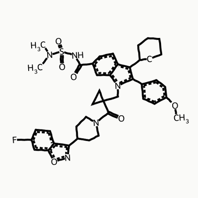 COc1ccc(-c2c(C3CCCCC3)c3ccc(C(=O)NS(=O)(=O)N(C)C)cc3n2CC2(C(=O)N3CCC(c4noc5cc(F)ccc45)CC3)CC2)cc1